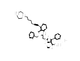 Nc1ncnc2c1c(-c1cccc(O)c1)nn2Cc1nc2cccc(C#CCCCC(=O)N3CCCNCC3)c2c(=O)n1Cc1ccccc1Cl